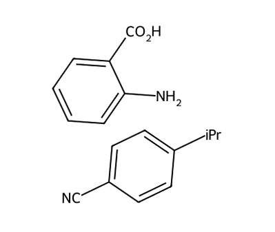 CC(C)c1ccc(C#N)cc1.Nc1ccccc1C(=O)O